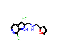 Cl.Clc1nccc2cc(CNCc3ccco3)[nH]c12